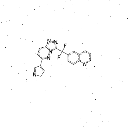 FC(F)(c1ccc2ncccc2c1)c1nnc2ccc(C3=CCN=C3)nn12